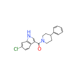 O=C(c1c[nH]c2cc(Cl)ccc12)N1CCC(c2ccccc2)CC1